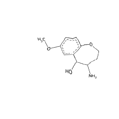 COc1ccc2c(c1)C(O)C(N)CCO2